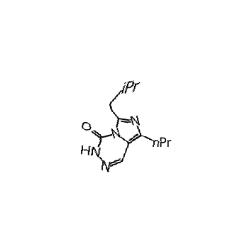 CCCc1nc(CC(C)C)n2c(=O)[nH]ncc12